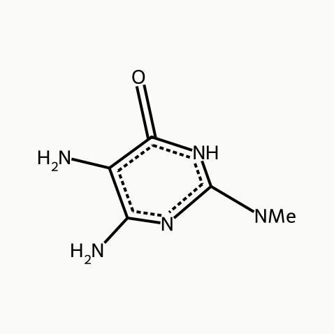 CNc1nc(N)c(N)c(=O)[nH]1